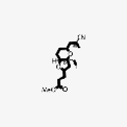 COC(=O)CCC1C[C@]2(CI)OC(C[C@@H](C)C#N)CC[C@@H]2O1